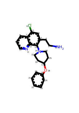 NCCc1cc(Cl)c2cccnc2c1N1CCC(Oc2ccccc2)CC1